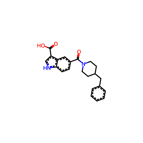 O=C(O)c1c[nH]c2ccc(C(=O)N3CCC(Cc4ccccc4)CC3)cc12